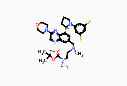 CN(CCN(C)C(=O)OC(C)(C)C)Cc1cc([C@@H]2CCCN2c2cc(F)cc(F)c2)c2nc(N3CCOCC3)cnc2c1